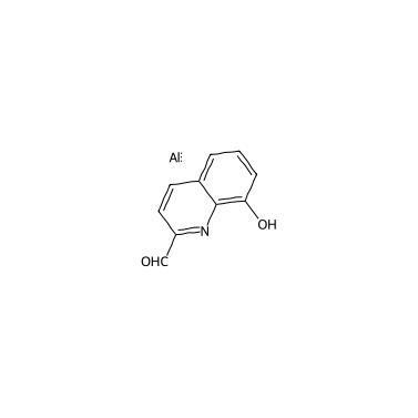 O=Cc1ccc2cccc(O)c2n1.[Al]